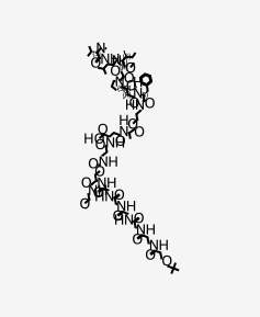 CC[C@H](C)[C@@H]([C@@H](CC(=O)N1CCC[C@H]1[C@H](OC)[C@@H](C)C(=O)N[C@@H](Cc1ccccc1)C(=O)NCCCOC(=O)C(C)NC(=O)CC(NC(=O)CCNC(=O)OCC(NC(=O)CNC(=O)CNC(=O)CNC(=O)CNC(=O)CCNC(=O)CCOCC(C)(C)C)C(=O)NCCOC)C(=O)O)OC)N(C)C(=O)C(NC(=O)[C@H](C(C)C)N(C)C)C(C)C